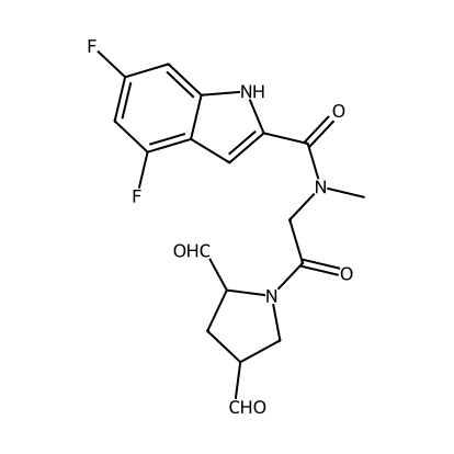 CN(CC(=O)N1CC(C=O)CC1C=O)C(=O)c1cc2c(F)cc(F)cc2[nH]1